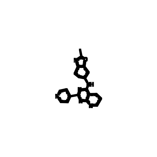 Cc1nc2ccc(Nc3nc(-c4ccncc4)nc4ncccc34)cc2o1